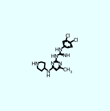 Cc1cc(NC2CCNCC2)nc(NC(=N)Nc2ccc(Cl)c(Cl)c2)n1